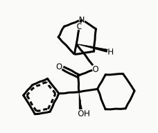 O=C(O[C@H]1CN2CCC1CC2)[C@@](O)(c1ccccc1)C1CCCCC1